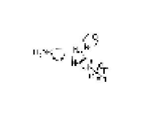 Nc1ccc(-c2nc3c(c(N4CCOCC4)n2)CN(S(=O)(=O)C(F)(F)F)C3)cc1